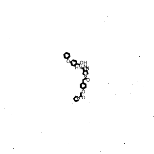 O=C(Nc1[nH]nc2c1CN(C(=O)Cc1ccc(OCC(=O)N3CCCC3)cc1)C2)c1ccc(Oc2ccccc2)cc1